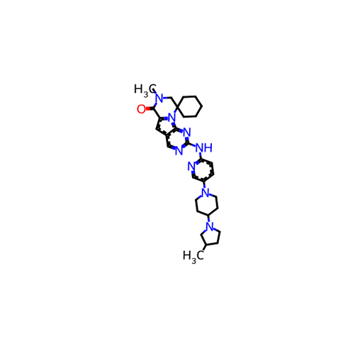 CC1CCN(C2CCN(c3ccc(Nc4ncc5cc6n(c5n4)C4(CCCCC4)CN(C)C6=O)nc3)CC2)C1